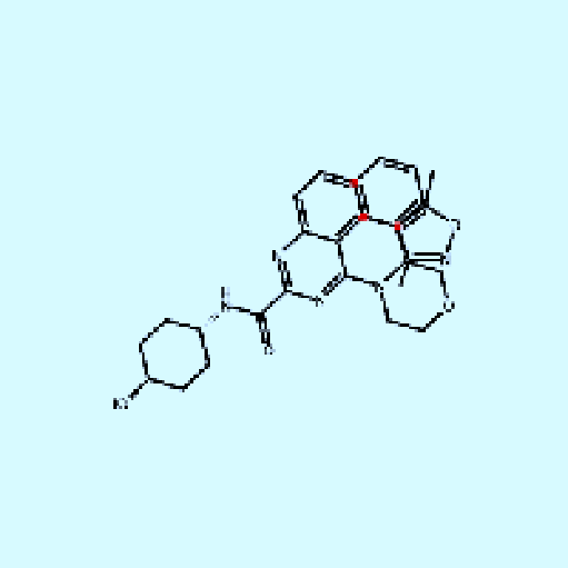 Cc1noc(C)c1-c1cccc2nc(C(=O)N[C@H]3CC[C@H](O)CC3)nc(N3CCOC[C@@H]3c3ccccc3)c12